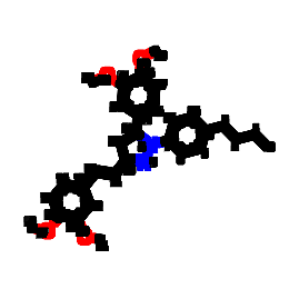 CCCCc1ccc(N2N=C(C=Cc3ccc(OC)c(OC)c3)CC2c2ccc(OC)c(OC)c2)cc1